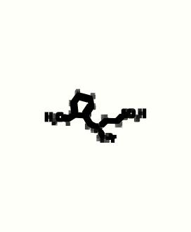 C=Cc1ccccc1CN(CCC)CCS(=O)(=O)O